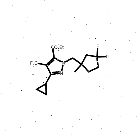 CCOC(=O)c1c(C(F)(F)F)c(C2CC2)nn1CC1(C)CCC(F)(F)C1